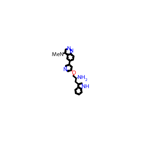 CNc1cnnc2ccc(-c3cncc(OC[C@H](N)Cc4c[nH]c5ccccc45)c3)cc12